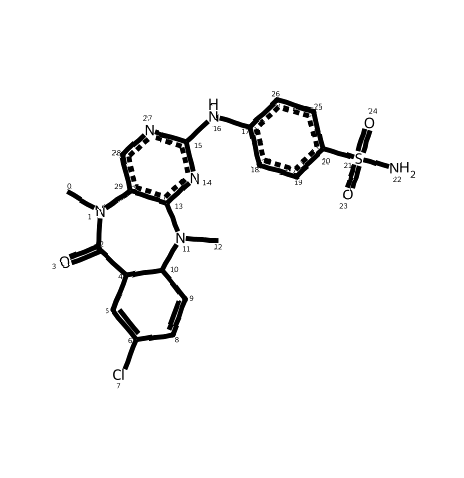 CN1C(=O)C2C=C(Cl)C=CC2N(C)c2nc(Nc3ccc(S(N)(=O)=O)cc3)ncc21